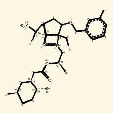 Cc1cccc(COC2CC3C(F)(C(=O)O)[C@]34N=[PH](C[C@@H](C)OC(=O)C[C@@H]3C[C@H](C)CC[C@H]3C(C)C)C24CI)c1